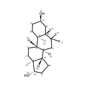 C[C@]12CC[C@H]3[C@@H](CC(F)(F)[C@@]4(F)C[C@H](O)CC[C@]34C)[C@@H]1CC[C@@H]2O